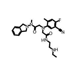 CCNCCNC(=O)CN(CC(=O)N(C)N1Cc2ccccc2C1)c1cc(C#N)c(F)cc1C